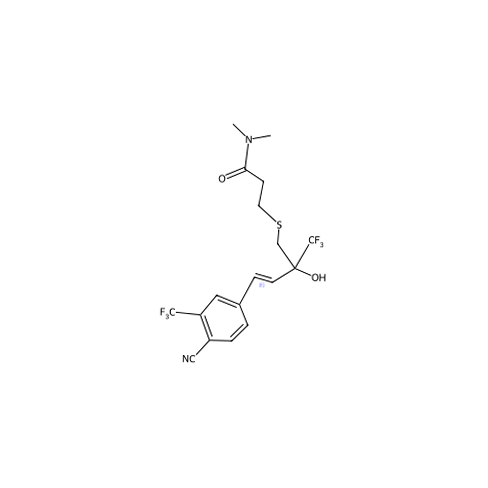 CN(C)C(=O)CCSCC(O)(/C=C/c1ccc(C#N)c(C(F)(F)F)c1)C(F)(F)F